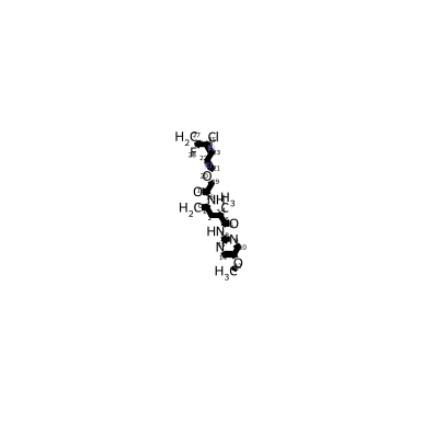 C=C(CC(C)C(=O)Nc1ncc(OC)cn1)NC(=O)CO/C=C/C=C(/Cl)C(=C)F